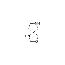 C1C[C@]2(CN1)COCN2